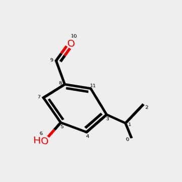 CC(C)c1cc(O)cc(C=O)c1